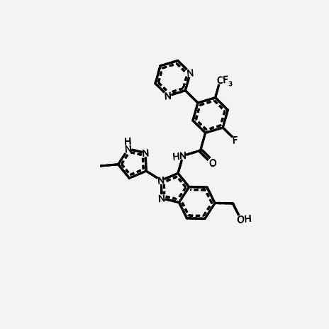 Cc1cc(-n2nc3ccc(CO)cc3c2NC(=O)c2cc(-c3ncccn3)c(C(F)(F)F)cc2F)n[nH]1